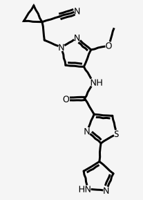 COc1nn(CC2(C#N)CC2)cc1NC(=O)c1csc(-c2cn[nH]c2)n1